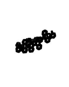 Cc1cccc2c1oc1c(N(c3ccccc3)c3ccc4c5c(c6ccccc6c4c3)-c3c(cc(N(c4ccccc4)c4cccc6c4oc4c([Si](C)(C)C)cccc46)c4ccccc34)C5(C(C)(C)C)C(C)(C)C)cccc12